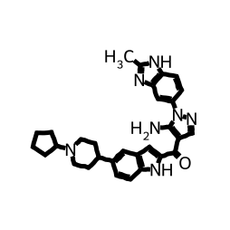 Cc1nc2cc(-n3ncc(C(=O)c4cc5cc(C6CCN(C7CCCC7)CC6)ccc5[nH]4)c3N)ccc2[nH]1